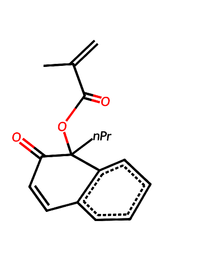 C=C(C)C(=O)OC1(CCC)C(=O)C=Cc2ccccc21